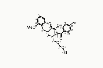 CCOCOC[C@H](C[C@H](Cc1ccccc1OC)C(=O)NO)NC(=O)c1ccc(C)cc1